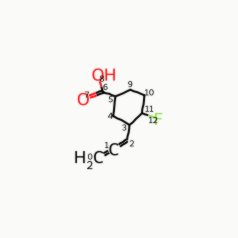 C=C=CC1CC(C(=O)O)CCC1F